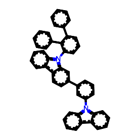 c1ccc(-c2cccc(-n3c4ccccc4c4ccc(-c5cccc(-n6c7ccccc7c7ccccc76)c5)cc43)c2-c2ccccc2)cc1